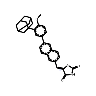 COc1ccc(-c2ccc3cc(/C=C4\SC(=O)NC4=O)ccc3c2)cc1C12CC3CC(CC(C3)C1)C2